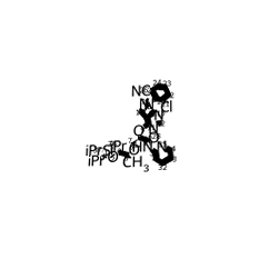 CC(C)[Si](OC[C@@H](C)OC[C@H](Oc1ncnc2c1cnn2-c1c(Cl)cccc1C#N)C(=O)Nc1ccccn1)(C(C)C)C(C)C